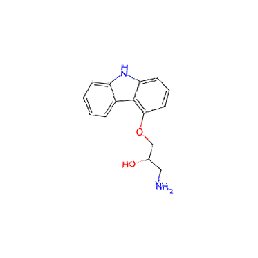 NCC(O)COc1cccc2[nH]c3ccccc3c12